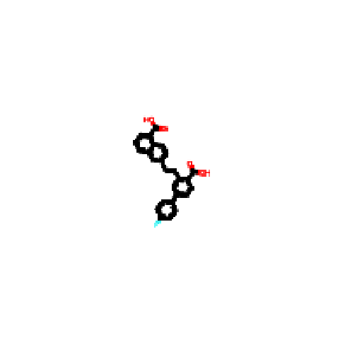 O=C(O)c1ccc(-c2ccc(F)cc2)cc1/C=C/c1ccc2c(C(=O)O)cccc2c1